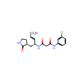 CCOC(=O)/C=C/[C@H](C[C@@H]1CCNC1=O)NC(=O)CC(=O)Nc1cccc(Cl)c1